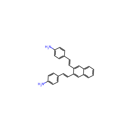 Nc1ccc(/C=C/c2cc3ccccc3cc2/C=C/c2ccc(N)cc2)cc1